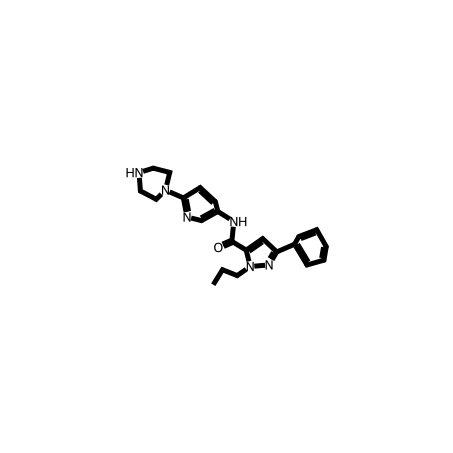 CCCn1nc(-c2ccccc2)cc1C(=O)Nc1ccc(N2CCNCC2)nc1